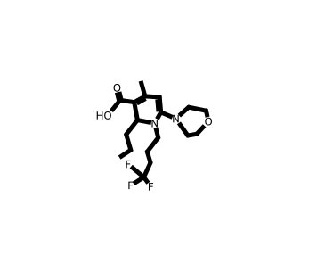 CCCC1C(C(=O)O)=C(C)C=C(N2CCOCC2)N1CCCC(F)(F)F